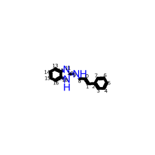 C(=Cc1ccccc1)CNc1nc2ccccc2[nH]1